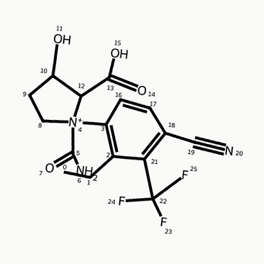 CCc1c([N+]2(C(N)=O)CCC(O)C2C(=O)O)ccc(C#N)c1C(F)(F)F